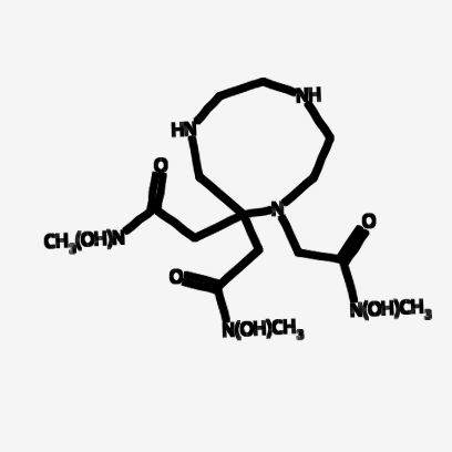 CN(O)C(=O)CN1CCNCCNCC1(CC(=O)N(C)O)CC(=O)N(C)O